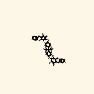 Fc1cc(Oc2ccc(C(c3ccc(Oc4c(F)c(F)c(CC5CC6C=CC5C6)c(F)c4F)cc3)(C(F)(F)F)C(F)(F)F)cc2)c(F)c(F)c1CC1CC2C=CC1C2